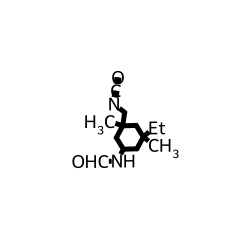 CCC1(C)CC(NC=O)CC(C)(CN=C=O)C1